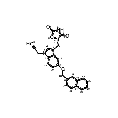 C#CCn1cc(Cn2oc(=O)[nH]c2=O)c2cc(OCc3ccc4ccccc4c3)ccc21